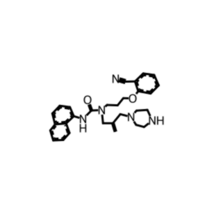 C=C(CN1CCNCC1)CN(CCCOc1ccccc1C#N)C(=O)Nc1cccc2ccccc12